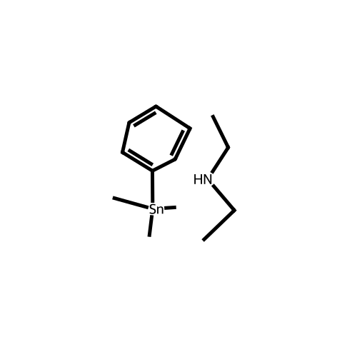 CCNCC.[CH3][Sn]([CH3])([CH3])[c]1ccccc1